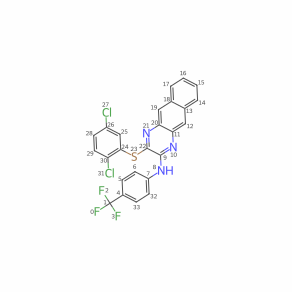 FC(F)(F)c1ccc(Nc2nc3cc4ccccc4cc3nc2Sc2cc(Cl)ccc2Cl)cc1